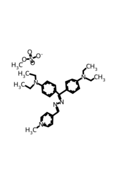 CCN(CC)c1ccc(C(=NN=Cc2cc[n+](C)cc2)c2ccc(N(CC)CC)cc2)cc1.COS(=O)(=O)[O-]